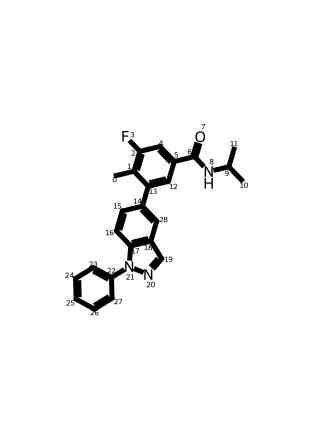 Cc1c(F)cc(C(=O)NC(C)C)cc1-c1ccc2c(cnn2-c2ccccc2)c1